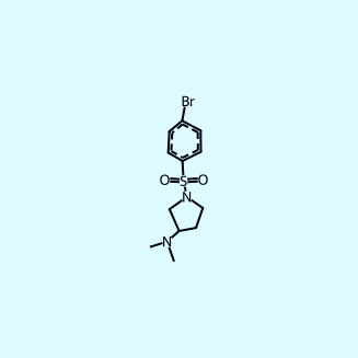 CN(C)C1CCN(S(=O)(=O)c2ccc(Br)cc2)C1